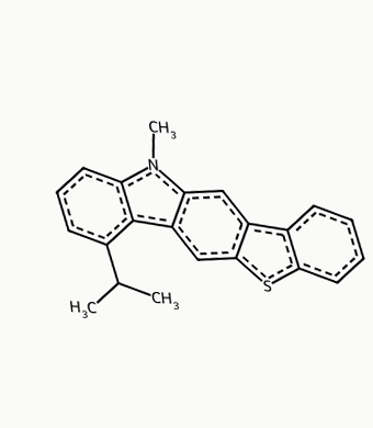 CC(C)c1cccc2c1c1cc3sc4ccccc4c3cc1n2C